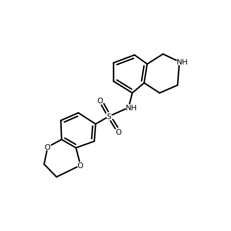 O=S(=O)(Nc1cccc2c1CCNC2)c1ccc2c(c1)OCCO2